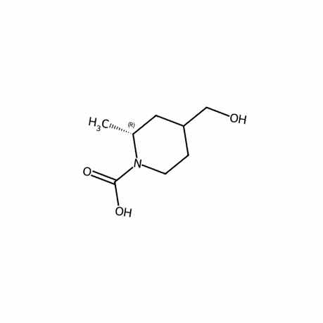 C[C@@H]1CC(CO)CCN1C(=O)O